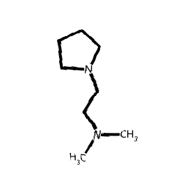 CN(C)CCN1CCCC1